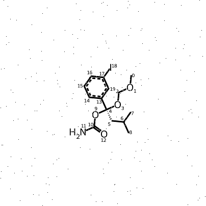 COCO[C@@](CC(C)C)(OC(N)=O)c1cccc(I)c1